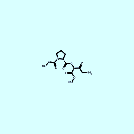 CC(C)(C)OC(=O)N(OC(=O)[C@@H]1CCCN1C(=O)OC(C)(C)C)C(=O)CN